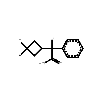 O=C(O)C(O)(c1ccccc1)C1CC(F)(F)C1